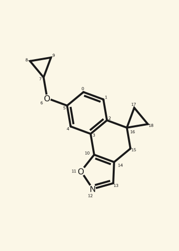 c1cc2c(cc1OC1CC1)-c1oncc1CC21CC1